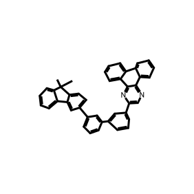 CC1(C)c2ccccc2-c2cc(-c3cccc(-c4cccc(-c5cnc6c7ccccc7c7ccccc7c6n5)c4)c3)ccc21